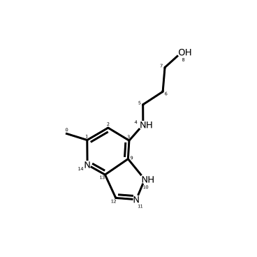 Cc1cc(NCCCO)c2[nH]ncc2n1